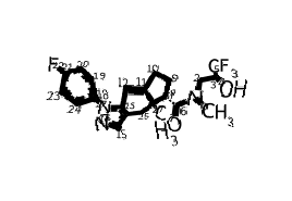 CN(CC(O)C(F)(F)F)C(=O)[C@H]1CCC2=Cc3c(cnn3-c3ccc(F)cc3)C[C@@]21C